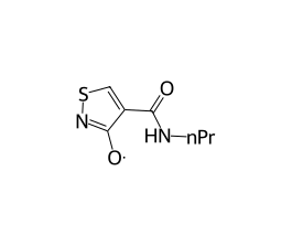 CCCNC(=O)c1csnc1[O]